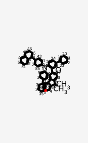 CC1(C)c2ccccc2-c2cc3c(cc21)oc1c(-c2ccccc2)ccc(N(c2ccc(-c4ccccc4)cc2)c2ccc(-c4cccc5ccccc45)cc2)c13